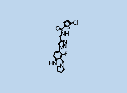 N=C1CC=C(n2cc(CNC(=O)c3ccc(Cl)s3)nn2)C(F)=C1CN1CCCC1